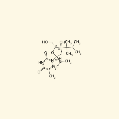 Cc1cn([C@@]2([SiH](C)C)C[C@@](O)(C(C)(C)C(C)C)[C@@H](CO)O2)c(=O)[nH]c1=O